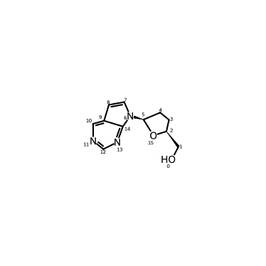 OC[C@@H]1CC[C@H](n2ccc3cncnc32)O1